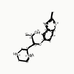 Cc1nc2cc(OC(C3CNCCN3)[C@@H](C)O)ccc2s1